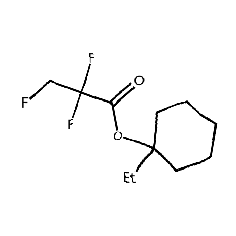 CCC1(OC(=O)C(F)(F)CF)CCCCC1